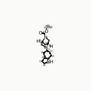 CC(C)(C)OC(=O)N1C[C@@H]2C[C@H]1CN2c1ccc2[nH]ccc2c1